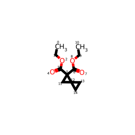 CCOC(=O)C1(C(=O)OCC)CC12CC2